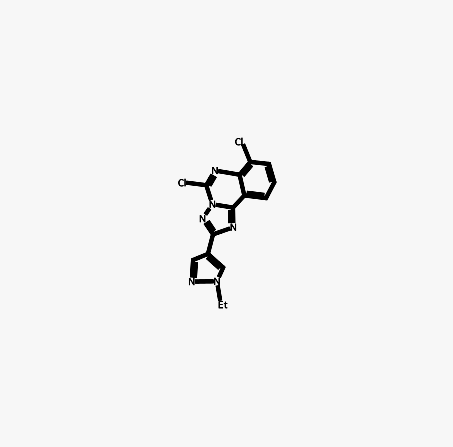 CCn1cc(-c2nc3c4cccc(Cl)c4nc(Cl)n3n2)cn1